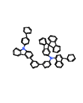 c1ccc(-c2ccc(-n3c4ccccc4c4cc(-c5cccc(-c6cccc(N(c7ccc8c(c7)C7(c9ccccc9-c9ccccc97)c7ccccc7-8)c7ccc(-c8ccccc8)c8ccccc78)c6)c5)ccc43)cc2)cc1